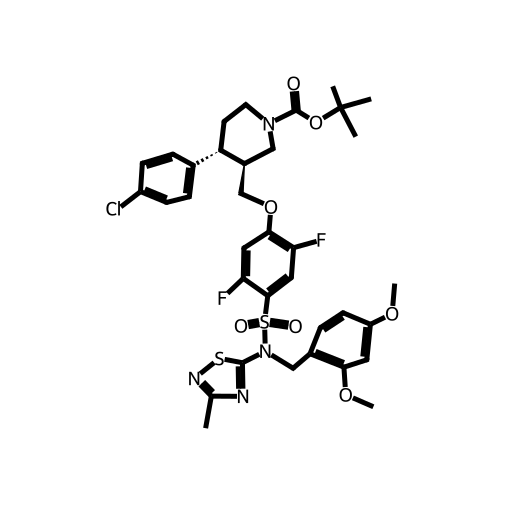 COc1ccc(CN(c2nc(C)ns2)S(=O)(=O)c2cc(F)c(OC[C@@H]3CN(C(=O)OC(C)(C)C)CC[C@H]3c3ccc(Cl)cc3)cc2F)c(OC)c1